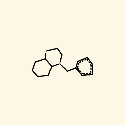 c1ccc(CN2CCOC3CCCCC32)cc1